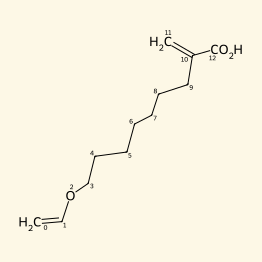 C=COCCCCCCCC(=C)C(=O)O